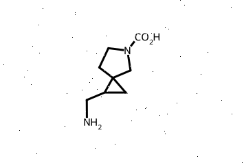 NCC1CC12CCN(C(=O)O)C2